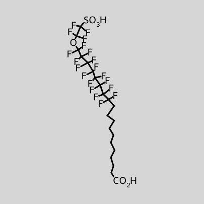 O=C(O)CCCCCCCCCCC(F)(F)C(F)(F)C(F)(F)C(F)(F)C(F)(F)C(F)(F)C(F)(F)C(F)(F)OC(F)(F)C(F)(F)S(=O)(=O)O